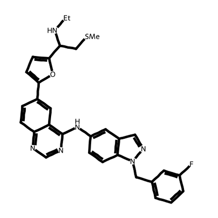 CCNC(CSC)c1ccc(-c2ccc3ncnc(Nc4ccc5c(cnn5Cc5cccc(F)c5)c4)c3c2)o1